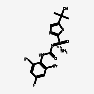 CC(C)c1cc(F)cc(C(C)C)c1NC(=O)N=[S@](N)(=O)c1ncc(C(C)(C)O)s1